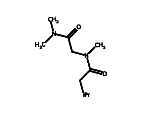 CC(C)CC(=O)N(C)CC(=O)N(C)C